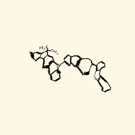 CC1(C)c2ccccc2-c2cc3c4ccccc4n(-c4ccc5c(c4)C4=C(C5)CC(c5cccc6c5sc5ccccc56)C=C4)c3cc21